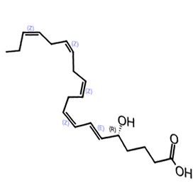 CC/C=C\C/C=C\C/C=C\C/C=C\C=C\[C@H](O)CCCC(=O)O